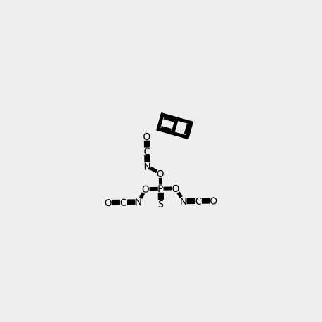 O=C=NOP(=S)(ON=C=O)ON=C=O.c1cc2ccc1-2